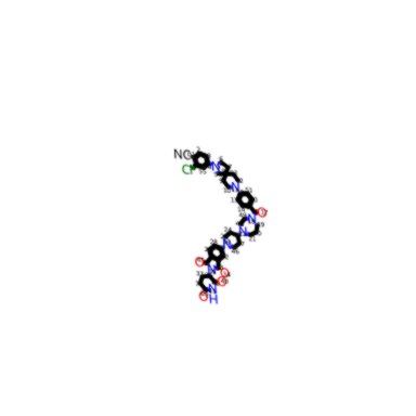 N#Cc1ccc(N2CCC3(CCN(c4ccc(C(=O)N5CCCN(C6CCN(c7ccc8c(c7)C(=O)N(C7CCC(=O)NC7=O)C8=O)CC6)CC5)cc4)CC3)C2)cc1Cl